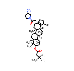 CC(C)C1CC[C@]2(CC(=O)N3CC[C@@H](N)C3)CC[C@]3(C)[C@H](CC[C@@H]4[C@@]5(C)CC[C@H](OC(=O)CC(C)(C)C(=O)O)C(C)(C)[C@@H]5CC[C@]43C)[C@@H]12